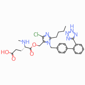 CCCCc1nc(Cl)c(COC(=O)[C@H](CCC(=O)O)NC)n1Cc1ccc(-c2ccccc2-c2nn[nH]n2)cc1